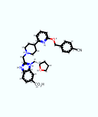 N#Cc1ccc(COc2cccc(C3CCN(Cc4nc5ccc(C(=O)O)cc5n4C[C@@H]4CCCO4)CC3)n2)cc1